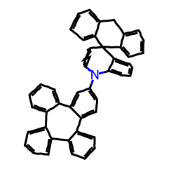 c1ccc2c(c1)Cc1ccccc1C21c2ccccc2N(c2ccc3c(c2)-c2ccccc2-c2ccccc2-c2ccccc2-3)c2ccccc21